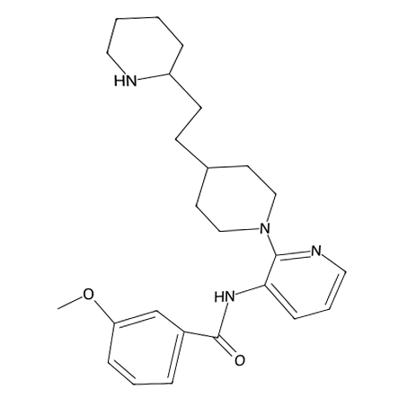 COc1cccc(C(=O)Nc2cccnc2N2CCC(CCC3CCCCN3)CC2)c1